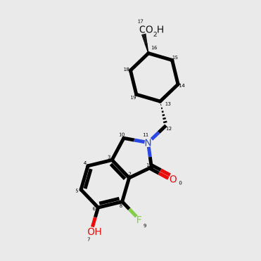 O=C1c2c(ccc(O)c2F)CN1C[C@H]1CC[C@H](C(=O)O)CC1